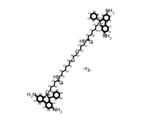 Nc1ccc2c(c1)c(-c1ccccc1)[n+](CCCCCC(=O)NCCCOCCOCCCCCCNC(=O)CCCCO[n+]1c(-c3ccccc3)c3cc(N)ccc3c3ccc(N)cc31)c1cc(N)ccc21.[I-].[I-]